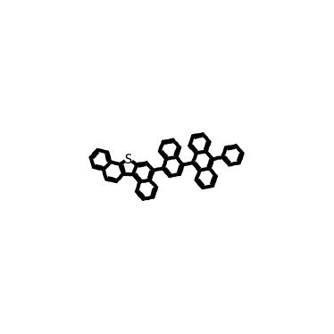 c1ccc(-c2c3ccccc3c(-c3ccc(-c4cc5sc6c7ccccc7ccc6c5c5ccccc45)c4ccccc34)c3ccccc23)cc1